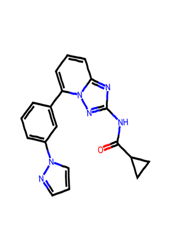 O=C(Nc1nc2cccc(-c3cccc(-n4cccn4)c3)n2n1)C1CC1